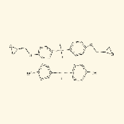 CC(C)(c1ccc(O)cc1)c1ccc(O)cc1.CC(C)(c1ccc(OCC2CO2)cc1)c1ccc(OCC2CO2)cc1